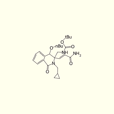 CCCCOC1c2ccccc2C(=O)N(CC2CC2)C1(C=CC(N)=O)CNC(=O)OC(C)(C)C